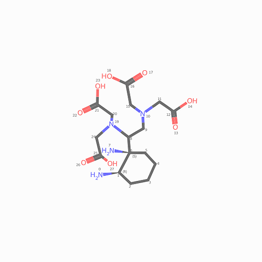 N[C@@H]1CCCC[C@@]1(N)C(CN(CC(=O)O)CC(=O)O)N(CC(=O)O)CC(=O)O